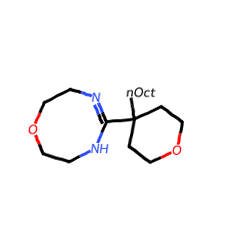 CCCCCCCCC1(/C2=N/CCOCCN2)CCOCC1